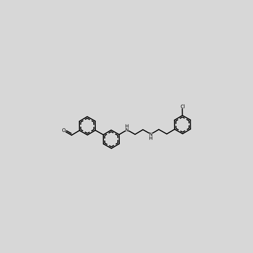 O=Cc1cccc(-c2cccc(NCCNCCc3cccc(Cl)c3)c2)c1